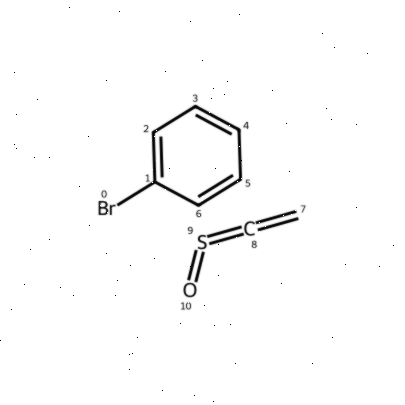 Brc1ccccc1.C=C=S=O